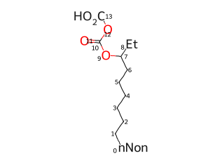 CCCCCCCCCCCCCCCC(CC)OC(=O)OC(=O)O